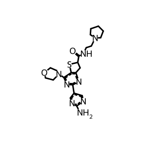 Nc1ncc(-c2nc3c(c(N4CCOCC4)n2)SC(C(=O)NCCN2CCCCC2)C3)cn1